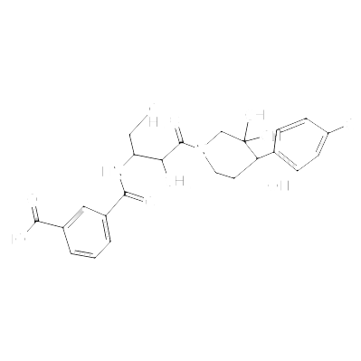 CCC(NC(=O)c1cccc(C(=O)O)c1)C(C)C(=O)N1CC[C@](O)(c2ccc(Cl)cc2)C(C)(C)C1